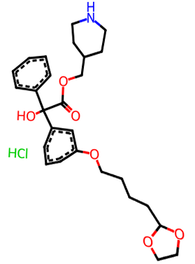 Cl.O=C(OCC1CCNCC1)C(O)(c1ccccc1)c1cccc(OCCCCC2OCCO2)c1